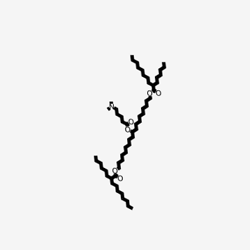 CCCCCCCCC(CCCCCC)C(=O)OCCCCCCCCCC(CCCCCCCCCOC(=O)C(CCCCCC)CCCCCCCC)OC(=O)CCCCN(C)C